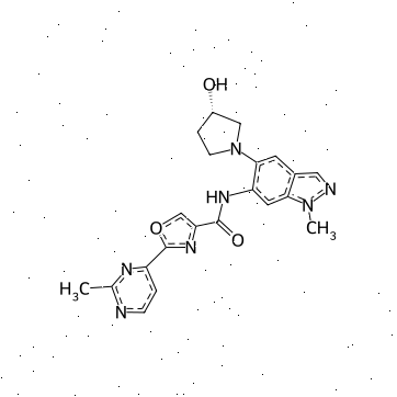 Cc1nccc(-c2nc(C(=O)Nc3cc4c(cnn4C)cc3N3CC[C@H](O)C3)co2)n1